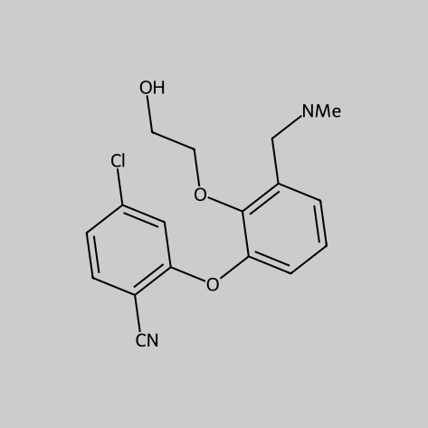 CNCc1cccc(Oc2cc(Cl)ccc2C#N)c1OCCO